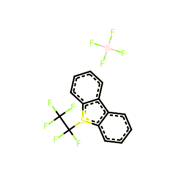 FC(F)(F)C(F)(F)[s+]1c2ccccc2c2ccccc21.F[B-](F)(F)F